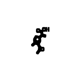 C=C(C(=O)O)C1CC2CC1C(C1OC1C)C2C